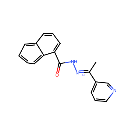 C/C(=N\NC(=O)c1cccc2ccccc12)c1cccnc1